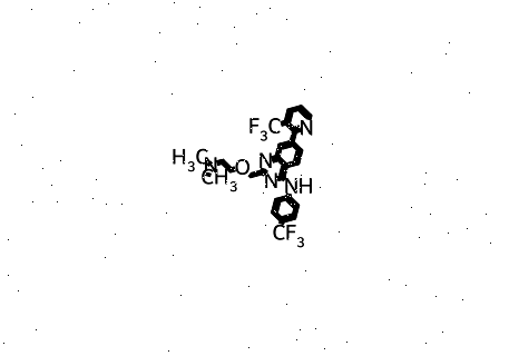 CN(C)CCOCc1nc(Nc2ccc(C(F)(F)F)cc2)c2ccc(-c3ncccc3C(F)(F)F)cc2n1